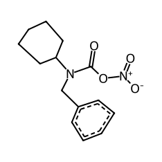 O=C(O[N+](=O)[O-])N(Cc1ccccc1)C1CCCCC1